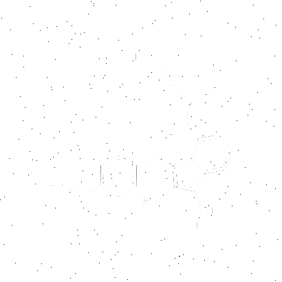 CC#CCOc1nccc2c(C)c(C)n(Cc3ccc(OC)cc3)c12.Cl